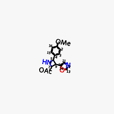 COc1ccc(C2NC(OC(C)=O)C2c2cnco2)cc1